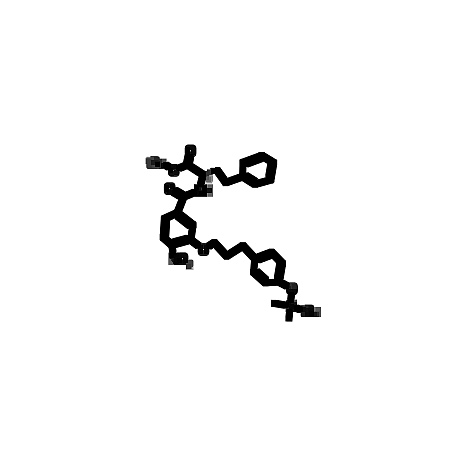 CC(C)(C)OC(=O)[C@H](CCc1ccccc1)NC(=O)c1ccc([N+](=O)[O-])c(OCCCc2ccc(O[Si](C)(C)C(C)(C)C)cc2)c1